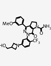 COc1cccc(-c2nn(-c3cc(N4CC(CO)C4)ccc3C(F)(F)F)c(=O)c3c2CCN3C(N)=O)c1